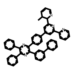 CC1C=CC=NC1c1cc(-c2ccc(-c3nc(-c4ccccc4)c(-c4ccccc4)nc3-c3cccc(-c4ccccc4)c3)cc2)cc(-c2ccccn2)n1